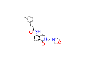 Cc1cccc(CCC(=O)Nc2cccc3c(=O)n(CCN4CCOCC4)ccc23)c1